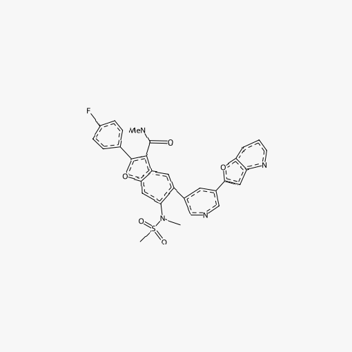 CNC(=O)c1c(-c2ccc(F)cc2)oc2cc(N(C)S(C)(=O)=O)c(-c3cncc(-c4cc5ncccc5o4)c3)cc12